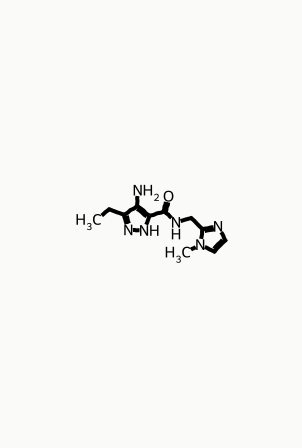 CCc1n[nH]c(C(=O)NCc2nccn2C)c1N